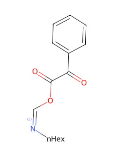 CCCCCC/N=C\OC(=O)C(=O)c1ccccc1